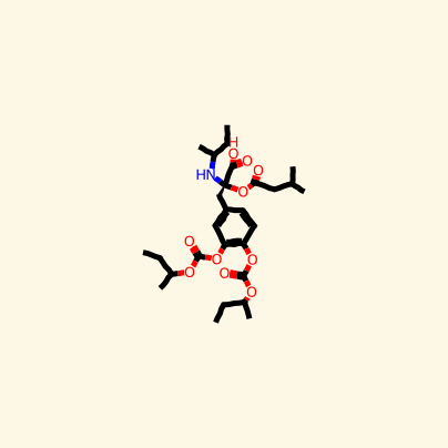 CCC(C)N[C@@](Cc1ccc(OC(=O)OC(C)CC)c(OC(=O)OC(C)CC)c1)(OC(=O)CC(C)C)C(=O)O